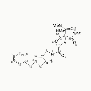 CNC(=O)C(COC(=O)N1CC2CN(Cc3ccccc3)CC2C1)(C(=O)NC)C(=O)NC